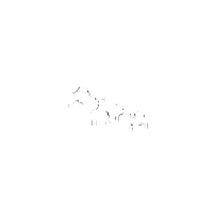 CCC1(C)CN(c2ncc(C(=O)Nc3cccc(C(F)(F)F)c3)c(N)n2)C(=O)N1